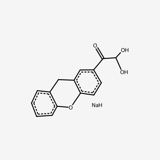 O=C(c1ccc2c(c1)Cc1ccccc1O2)C(O)O.[NaH]